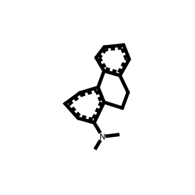 CN(C)c1cccc2c1CCc1ccccc1-2